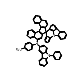 CC(C)(C)c1ccc(N(c2ccc3c(c2)c2ccccc2n3-c2ccccc2)c2cc3c(c4ccccc24)-c2c(ccc4ccccc24)C32c3ccccc3-n3c4ccccc4c4cccc2c43)cc1